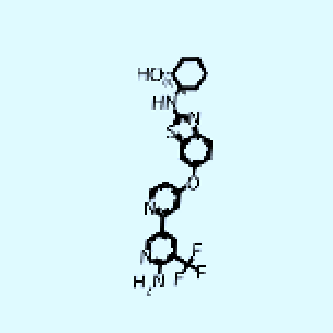 Nc1ncc(-c2cc(Oc3ccc4nc(N[C@@H]5CCCC[C@H]5O)sc4c3)ccn2)cc1C(F)(F)F